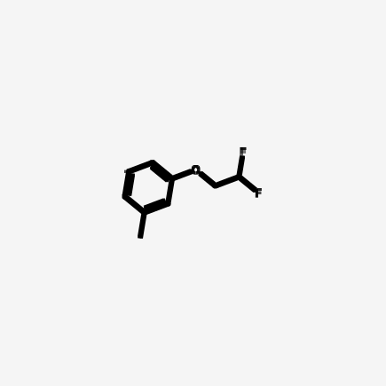 Cc1c[c]cc(OCC(F)F)c1